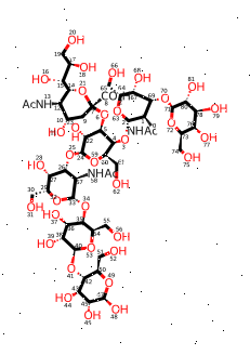 CC(=O)N[C@H]1[C@H](O[C@@H]2[C@H](O[C@]3(C(=O)O)C[C@H](O)[C@@H](NC(C)=O)[C@H]([C@H](O)[C@H](O)CO)O3)[C@@H](O)[C@H](O[C@H]3[C@@H](O)[C@@H](CO)O[C@@H](O[C@@H]4[C@H](O)[C@@H](O)[C@H](O[C@H]5[C@H](O)[C@@H](O)[C@H](O)O[C@@H]5CO)O[C@@H]4CO)[C@@H]3NC(C)=O)O[C@@H]2CO)O[C@H](CO)[C@H](O)[C@@H]1O[C@@H]1O[C@H](CO)[C@H](O)[C@H](O)[C@H]1O